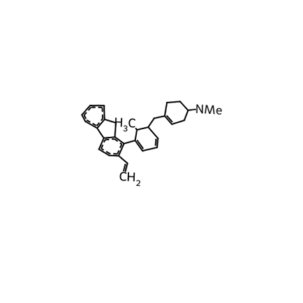 C=Cc1ccc2c(c1C1=CC=CC(CC3=CCC(NC)CC3)C1C)Cc1ccccc1-2